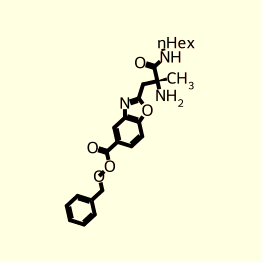 CCCCCCNC(=O)[C@](C)(N)Cc1nc2cc(C(=O)OOCc3ccccc3)ccc2o1